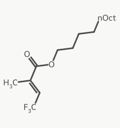 CCCCCCCCCCCCOC(=O)C(C)=CC(F)(F)F